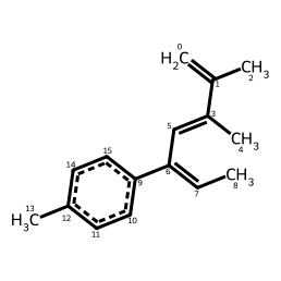 C=C(C)/C(C)=C/C(=C\C)c1ccc(C)cc1